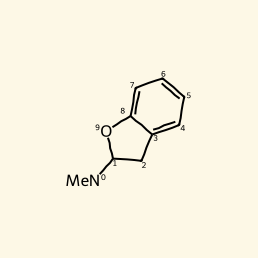 CNC1Cc2ccccc2O1